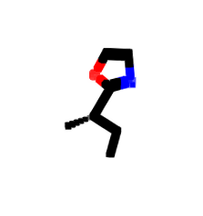 CC[C@H](C)c1ncco1